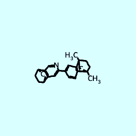 CC12CCC(C)(CC1)c1cc(-c3cc4c(cn3)C3CCC4CC3)ccc12